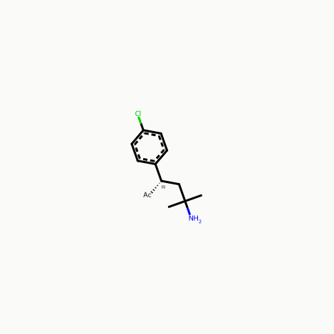 CC(=O)[C@@H](CC(C)(C)N)c1ccc(Cl)cc1